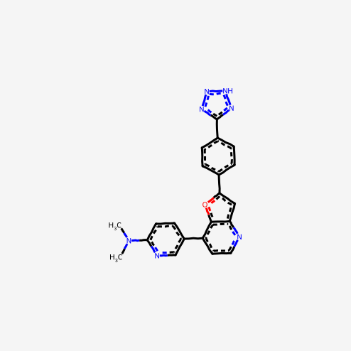 CN(C)c1ccc(-c2ccnc3cc(-c4ccc(-c5nn[nH]n5)cc4)oc23)cn1